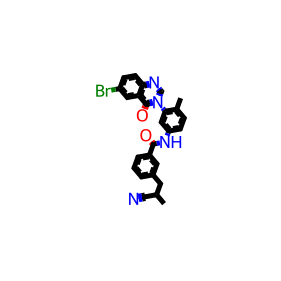 Cc1ccc(NC(=O)c2cccc(CC(C)C#N)c2)cc1-n1cnc2ccc(Br)cc2c1=O